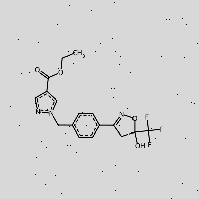 CCOC(=O)c1cnn(Cc2ccc(C3=NOC(O)(C(F)(F)F)C3)cc2)c1